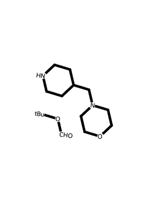 C1CC(CN2CCOCC2)CCN1.CC(C)(C)OC=O